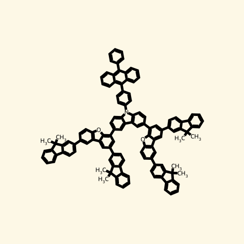 CC1(C)c2ccccc2-c2ccc(-c3ccc4oc5c(-c6ccc7c(c6)c6cc(-c8cc(-c9ccc%10c(c9)C(C)(C)c9ccccc9-%10)cc9c8oc8ccc(-c%10ccc%11c(c%10)C(C)(C)c%10ccccc%10-%11)cc89)ccc6n7-c6ccc(-c7c8ccccc8c(-c8ccccc8)c8ccccc78)cc6)cc(-c6ccc7c(c6)C(C)(C)c6ccccc6-7)cc5c4c3)cc21